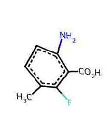 Cc1ccc(N)c(C(=O)O)c1F